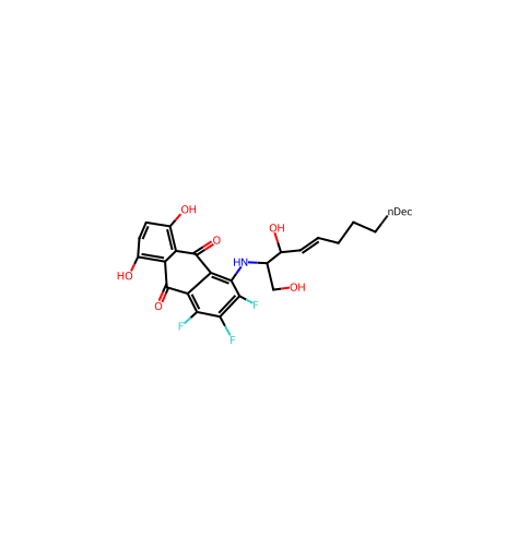 CCCCCCCCCCCCCC=CC(O)C(CO)Nc1c(F)c(F)c(F)c2c1C(=O)c1c(O)ccc(O)c1C2=O